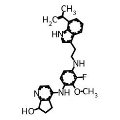 C=C(C)c1cccc2c(CCNc3ccc(Nc4ccnc5c4CCC5O)c(OC)c3F)c[nH]c12